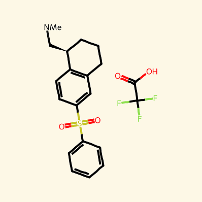 CNC[C@H]1CCCc2cc(S(=O)(=O)c3ccccc3)ccc21.O=C(O)C(F)(F)F